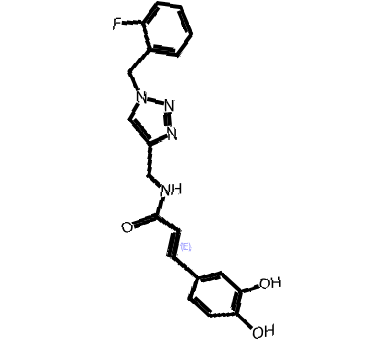 O=C(/C=C/c1ccc(O)c(O)c1)NCc1cn(Cc2ccccc2F)nn1